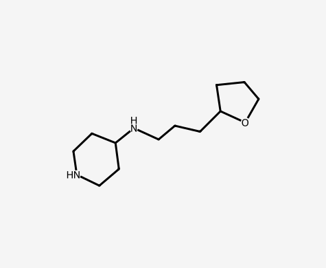 C(CNC1CCNCC1)CC1CCCO1